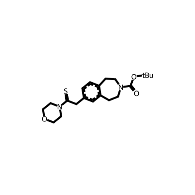 CC(C)(C)OC(=O)N1CCc2ccc(CC(=S)N3CCOCC3)cc2CC1